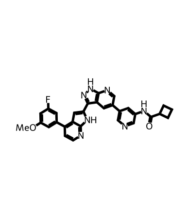 COc1cc(F)cc(-c2ccnc3[nH]c(-c4n[nH]c5ncc(-c6cncc(NC(=O)C7CCC7)c6)cc45)cc23)c1